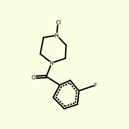 O=C(c1cccc(F)c1)N1CCN(Cl)CC1